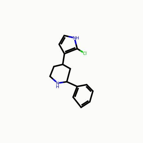 Clc1[nH]ccc1C1CCNC(c2ccccc2)C1